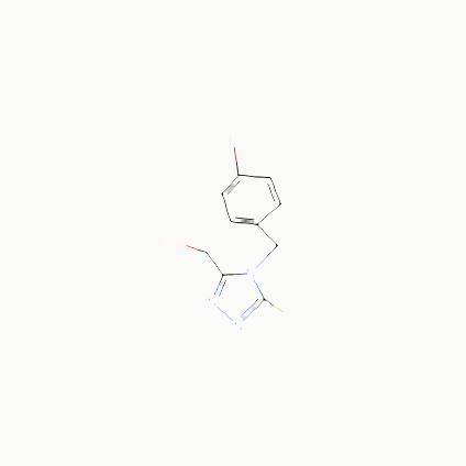 OCc1nnc(S)n1Cc1ccc(Br)cc1